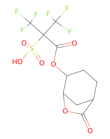 O=C1OC2CC1CCC2OC(=O)C(C(F)(F)F)(C(F)(F)F)S(=O)(=O)O